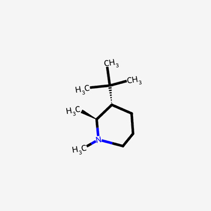 C[C@H]1[C@H](C(C)(C)C)CCCN1C